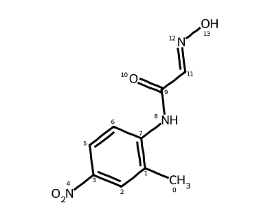 Cc1cc([N+](=O)[O-])ccc1NC(=O)C=NO